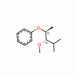 CO[C@@H](C(C)C)[C@H](C)Oc1ccccc1